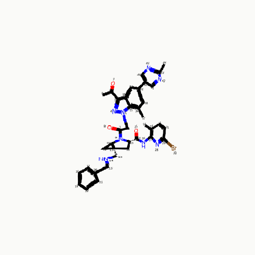 CC(=O)c1nn(CC(=O)N2C3C[C@]3(CNCc3ccccc3)C[C@H]2C(=O)Nc2nc(Br)ccc2C)c2c(C)cc(-c3cnc(C)nc3)cc12